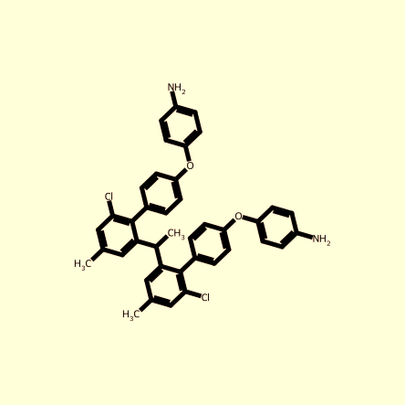 Cc1cc(Cl)c(-c2ccc(Oc3ccc(N)cc3)cc2)c(C(C)c2cc(C)cc(Cl)c2-c2ccc(Oc3ccc(N)cc3)cc2)c1